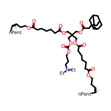 CCCCC/C=C\CCOC(=O)CCCCCC(=O)OCC(COC(=O)CCCCCC(=O)OCC/C=C\CCCCC)(COC(=O)CC12CC3CC(CC(C3)C1)C2)COC(=O)OCCCN(CC)CC